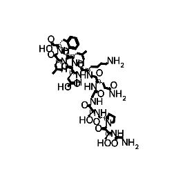 CC(C)C[C@H](NC(=O)[C@H](CC(C)C)NC(=O)[C@H](CC(=O)O)NC(=O)[C@H](CCCCN)NC(=O)[C@H](CCC(N)=O)NC(=O)CNC(=O)[C@H](CO)NC(=O)[C@@H]1CCCN1C(=O)[C@H](CO)NC(=O)CN)C(=O)N[C@@H](Cc1ccccc1)C(=O)O